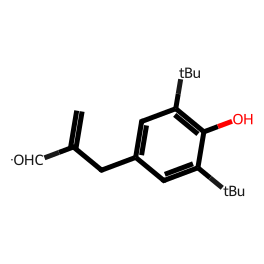 C=C([C]=O)Cc1cc(C(C)(C)C)c(O)c(C(C)(C)C)c1